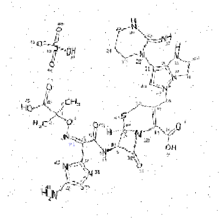 CC(C)(O/N=C(\C(=O)N[C@@H]1C(=O)N2C(C(=O)O)=C(C[n+]3cc(N4CCCNC4=N)c4n3CCN4)CS[C@H]12)c1nsc(N)n1)C(=O)O.O=S(=O)([O-])O